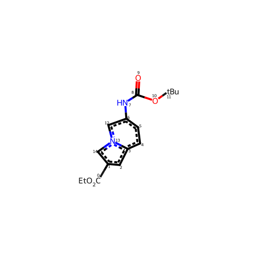 CCOC(=O)c1cc2ccc(NC(=O)OC(C)(C)C)cn2c1